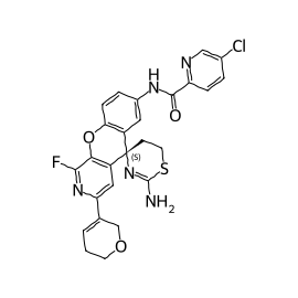 NC1=N[C@@]2(CCS1)c1cc(NC(=O)c3ccc(Cl)cn3)ccc1Oc1c2cc(C2=CCCOC2)nc1F